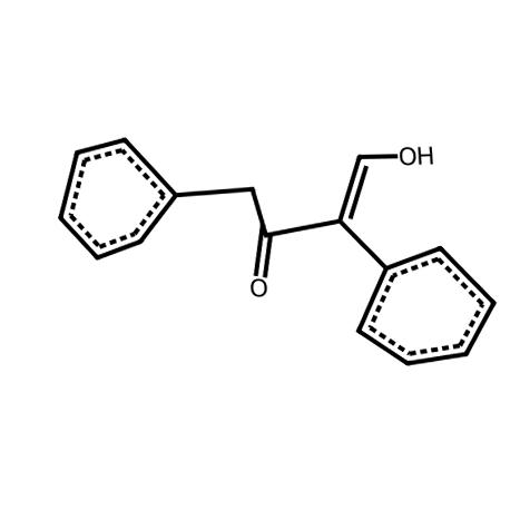 O=C(Cc1ccccc1)C(=CO)c1ccccc1